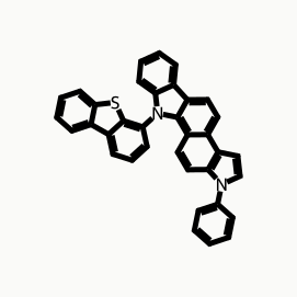 c1ccc(-n2ccc3c4ccc5c6ccccc6n(-c6cccc7c6sc6ccccc67)c5c4ccc32)cc1